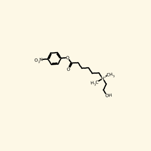 C[N+](C)(CCO)CCCCCC(=O)Oc1ccc([N+](=O)[O-])cc1